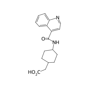 O=C(O)CC1CCC(NC(=O)c2ccnc3ccccc23)CC1